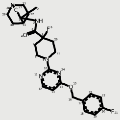 CC1(NC(=O)C2(F)CCN(c3nccc(OCc4ccc(F)cc4)n3)CC2)CN2CCC1CC2